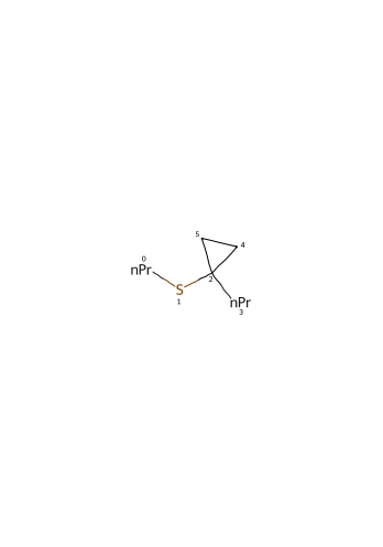 CCCSC1(CCC)CC1